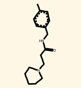 Cc1ccc(CNC(=O)CCN2CCCCC2)cc1